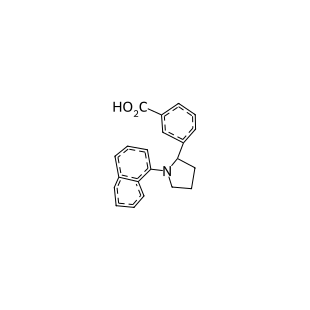 O=C(O)c1cccc(C2CCCN2c2cccc3ccccc23)c1